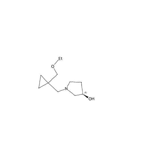 CCOCC1(CN2CC[C@@H](O)C2)CC1